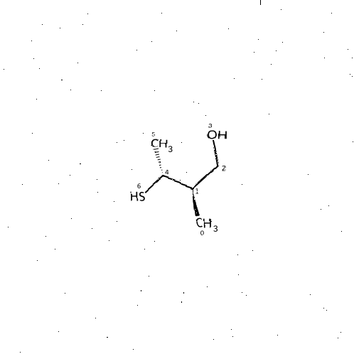 C[C@H](CO)[C@@H](C)S